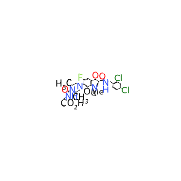 COc1c(N2C[C@@H](C)N(C(=O)NCC(=O)O)[C@@H](C)C2)c(F)cc2c(=O)c(C(=O)NCc3ccc(Cl)cc3Cl)cn(C3CC3)c12